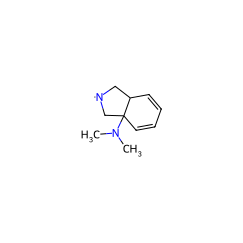 CN(C)C12C=CC=CC1C[N]C2